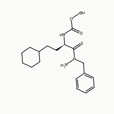 CC(C)(C)OC(=O)N[C@H](CCC1CCCCC1)C(=S)N(N)Cc1ccccc1